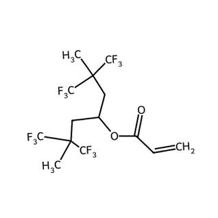 C=CC(=O)OC(CC(C)(C(F)(F)F)C(F)(F)F)CC(C)(C(F)(F)F)C(F)(F)F